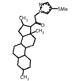 CSc1cnn(CC(=O)C2C(C)CC3C4CCC5CC(C)CCC5C4CCC32C)c1